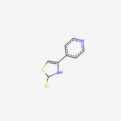 SC1NC(c2ccncc2)=CS1